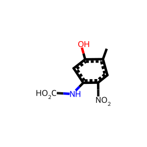 Cc1cc([N+](=O)[O-])c(NC(=O)O)cc1O